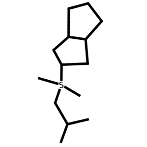 CC(C)CS(C)(C)C1CC2CCCC2C1